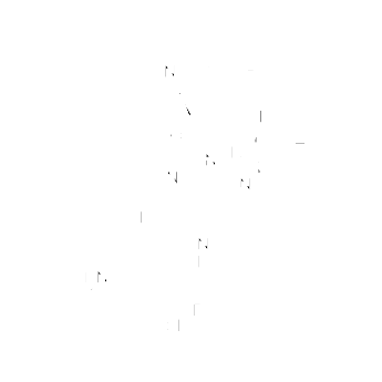 Nc1cc(Cl)c(C(F)(F)F)c(-c2ncc3c(N4CCCC[C@@H]5[C@@H](F)[C@@H]54)nc(OC[C@@]45CCCN4C/C(=C/F)C5)nc3c2F)c1